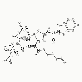 C=CCCCCN(C)C(=O)[C@@H]1C[C@H](OC(=O)N2Cc3ccccc3C2)C[C@H]1C(=O)N[C@]1(C(=O)NS(=O)(=O)C2CC2)C[C@H]1C=C